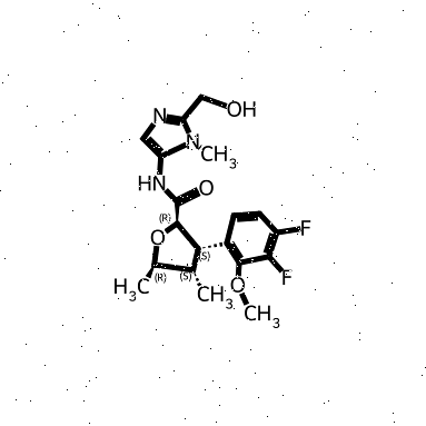 COc1c([C@@H]2[C@H](C)[C@@H](C)O[C@H]2C(=O)Nc2cnc(CO)n2C)ccc(F)c1F